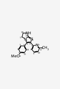 COc1ccc(-c2c(-c3cccc(C)n3)nc3n2CCN3)cc1